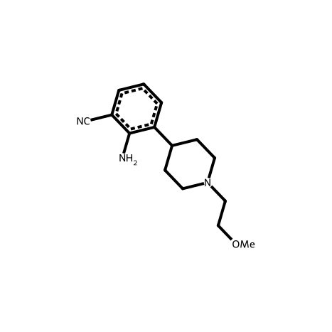 COCCN1CCC(c2cccc(C#N)c2N)CC1